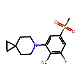 CS(=O)(=O)c1cc(F)c(C#N)c(N2CCC3(CC2)CC3)c1